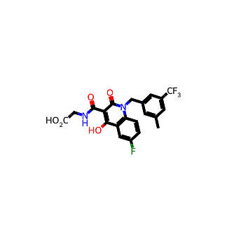 Cc1cc(Cn2c(=O)c(C(=O)NCC(=O)O)c(O)c3cc(F)ccc32)cc(C(F)(F)F)c1